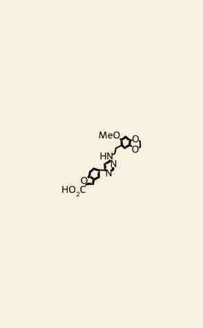 COc1cc2c(cc1CCNc1cc(-c3ccc4oc(C(=O)O)cc4c3)ncn1)OCCO2